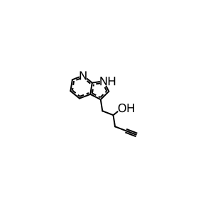 C#CCC(O)Cc1c[nH]c2ncccc12